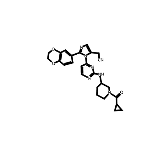 N#CCc1cnc(-c2ccc3c(c2)OCCO3)n1-c1ccnc(NC2CCCN(C(=O)C3CC3)C2)n1